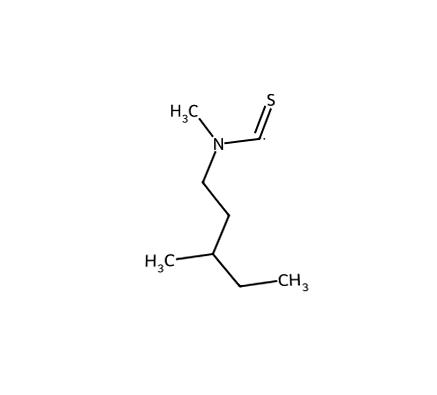 CCC(C)CCN(C)[C]=S